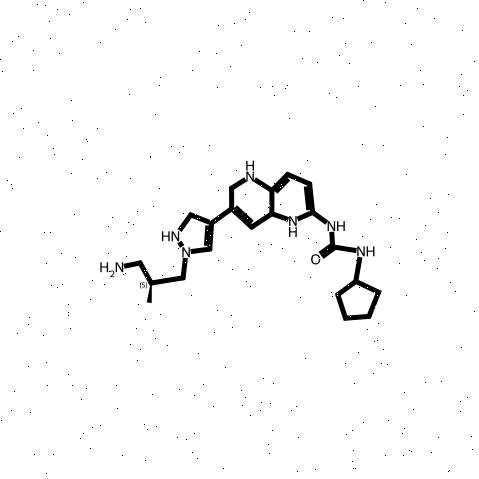 C[C@@H](CN)CN1C=C(C2=CC3NC(NC(=O)NC4CCCC4)=CC=C3NC2)CN1